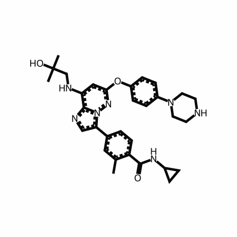 Cc1cc(-c2cnc3c(NCC(C)(C)O)cc(Oc4ccc(N5CCNCC5)cc4)nn23)ccc1C(=O)NC1CC1